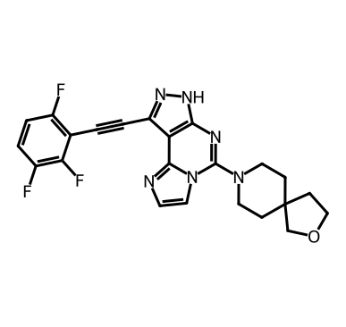 Fc1ccc(F)c(C#Cc2n[nH]c3nc(N4CCC5(CCOC5)CC4)n4ccnc4c23)c1F